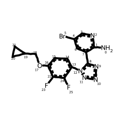 Nc1ncc(Br)cc1-c1nnnn1-c1ccc(OCC2CC2)c(F)c1F